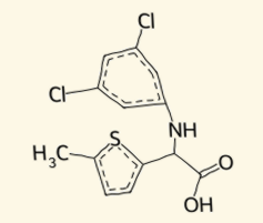 Cc1ccc(C(Nc2cc(Cl)cc(Cl)c2)C(=O)O)s1